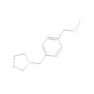 CCNCc1ccc(CN2CCCC2)cc1